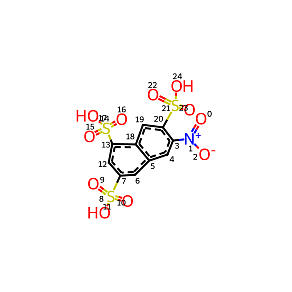 O=[N+]([O-])c1cc2cc(S(=O)(=O)O)cc(S(=O)(=O)O)c2cc1S(=O)(=O)O